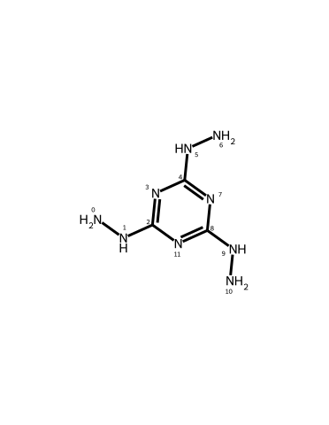 NNc1nc(NN)nc(NN)n1